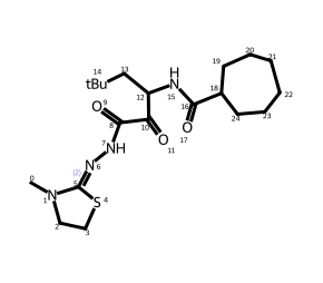 CN1CCS/C1=N\NC(=O)C(=O)C(CC(C)(C)C)NC(=O)C1CCCCCC1